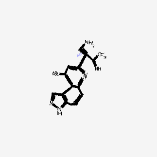 CC(C)(C)c1cc(/C(=C/N)C(=N)C(F)(F)F)nc2ccc3[nH]ncc3c12